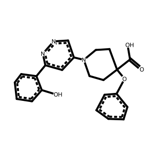 O=C(O)C1(Oc2ccccc2)CCN(c2cnnc(-c3ccccc3O)c2)CC1